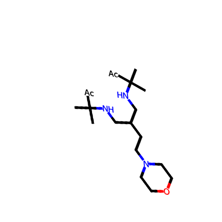 CC(=O)C(C)(C)NCC(CCN1CCOCC1)CNC(C)(C)C(C)=O